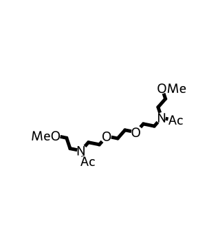 COCCN(CCOCCOCCN(CCOC)C(C)=O)C(C)=O